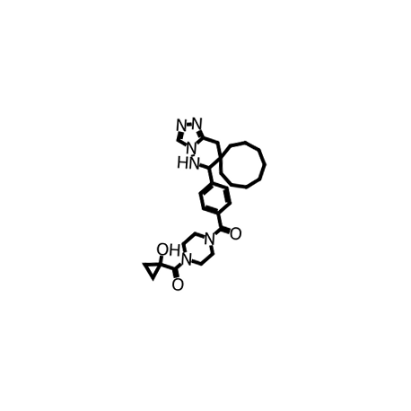 O=C(c1ccc(C2Nn3cnnc3CC23CCCCCCCC3)cc1)N1CCN(C(=O)C2(O)CC2)CC1